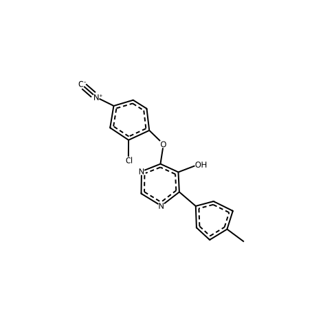 [C-]#[N+]c1ccc(Oc2ncnc(-c3ccc(C)cc3)c2O)c(Cl)c1